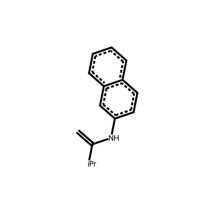 C=C(Nc1ccc2ccccc2c1)C(C)C